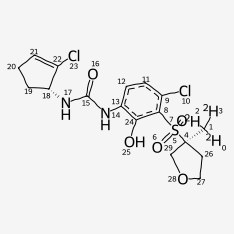 [2H]C([2H])([2H])[C@]1(S(=O)(=O)c2c(Cl)ccc(NC(=O)N[C@@H]3CCC=C3Cl)c2O)CCOC1